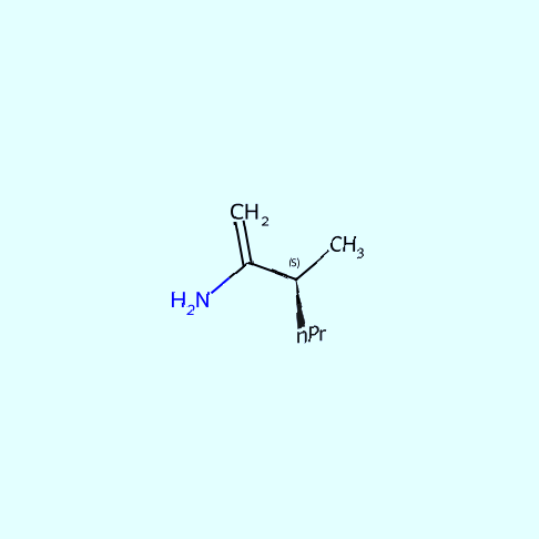 C=C(N)[C@@H](C)CCC